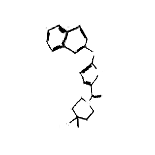 CC1(N)CCN(C(=O)c2ccc(Sc3ccc4ccccc4c3)o2)CC1